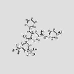 O=C(c1cc(C(F)(F)F)cc(C(F)(F)F)c1)N1CC[C@H](NCc2ccc(Cl)cc2)C[C@@H]1Cc1ccccc1